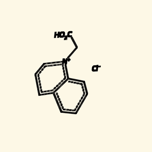 O=C(O)C[n+]1cccc2ccccc21.[Cl-]